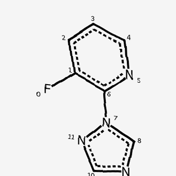 Fc1cccnc1-n1cncn1